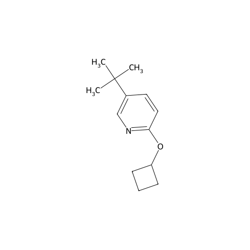 CC(C)(C)c1ccc(OC2CCC2)nc1